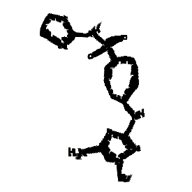 CC(C)(C)n1nc(Nc2ccc(S(=O)(=O)Nc3nccs3)cc2)nc1N